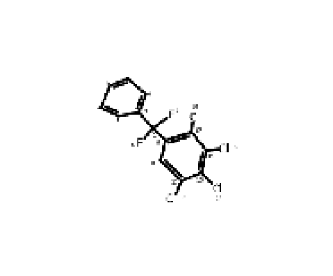 FC(F)(c1ccccc1)c1cc(Cl)c(Cl)c(Cl)c1Cl